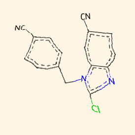 N#Cc1ccc(Cn2c(Cl)nc3ccc(C#N)cc32)cc1